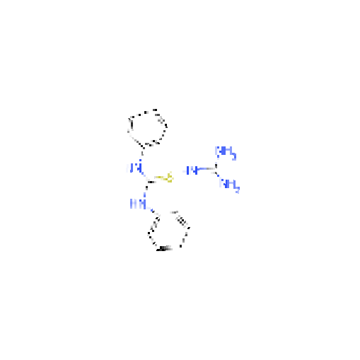 N=C(N)N.S=C(Nc1ccccc1)Nc1ccccc1